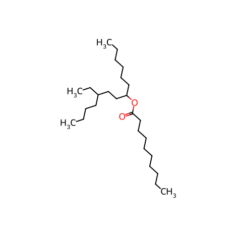 CCCCCCCCCC(=O)OC(CCCCCC)CCC(CC)CCCC